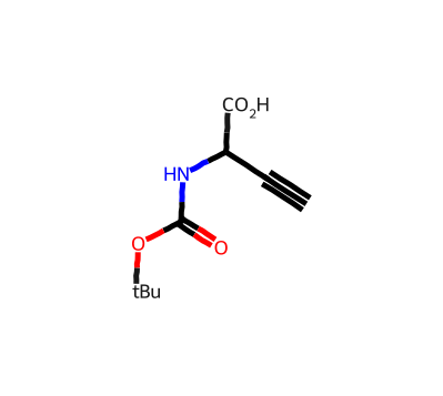 C#CC(NC(=O)OC(C)(C)C)C(=O)O